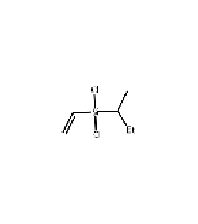 C=C[Si](Cl)(Cl)C(C)CC